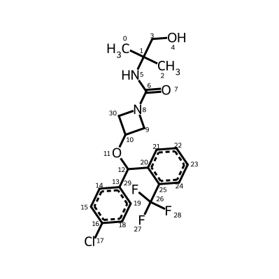 CC(C)(CO)NC(=O)N1CC(OC(c2ccc(Cl)cc2)c2ccccc2C(F)(F)F)C1